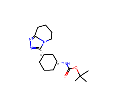 CC(C)(C)OC(=O)N[C@@H]1CCC[C@H](c2nnc3n2CCCC3)C1